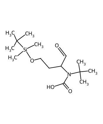 CC(C)(C)N(C(=O)O)C(C=O)CCO[Si](C)(C)C(C)(C)C